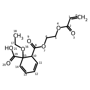 C=CC(=O)OCCOC(=O)C1C=CC=CC1(OCC)C(=O)O